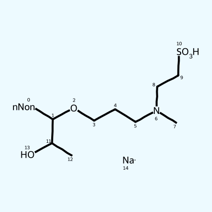 CCCCCCCCCC(OCCCN(C)CCS(=O)(=O)O)C(C)O.[Na]